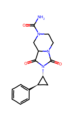 NC(=O)N1CCN2C(=O)N([C@@H]3C[C@H]3c3ccccc3)C(=O)C2C1